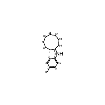 Cc1ccc(NC2CCCCCCCC2)cc1